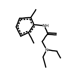 C=C(CN(CC)CC)Nc1c(C)cccc1C